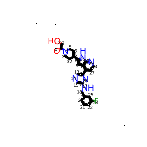 O=C(CO)N1CC=C(c2cc3c(-c4cncc(NCc5cccc(F)c5)n4)ccnc3[nH]2)CC1